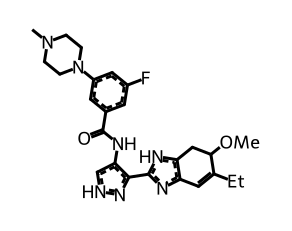 CCC1=Cc2nc(-c3n[nH]cc3NC(=O)c3cc(F)cc(N4CCN(C)CC4)c3)[nH]c2CC1OC